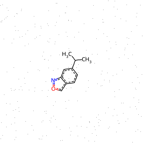 CC(C)c1ccc2conc2c1